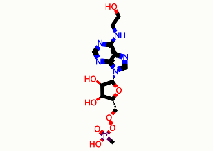 CP(=O)(O)OOC[C@H]1O[C@@H](n2cnc3c(NCCO)ncnc32)[C@H](O)[C@@H]1O